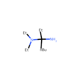 CCCCC(N)(CC)N(CC)CC